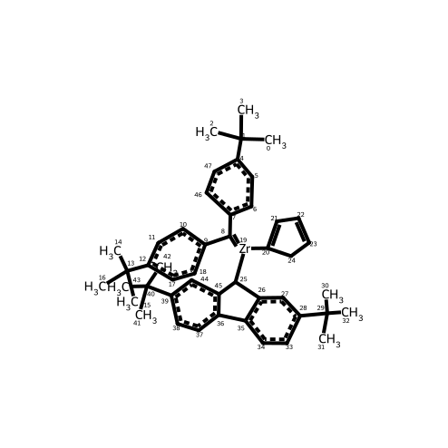 CC(C)(C)c1ccc([C](c2ccc(C(C)(C)C)cc2)=[Zr]([C]2=CC=CC2)[CH]2c3cc(C(C)(C)C)ccc3-c3ccc(C(C)(C)C)cc32)cc1